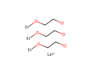 CCOCC[O-].CCOCC[O-].CCOCC[O-].[La+3]